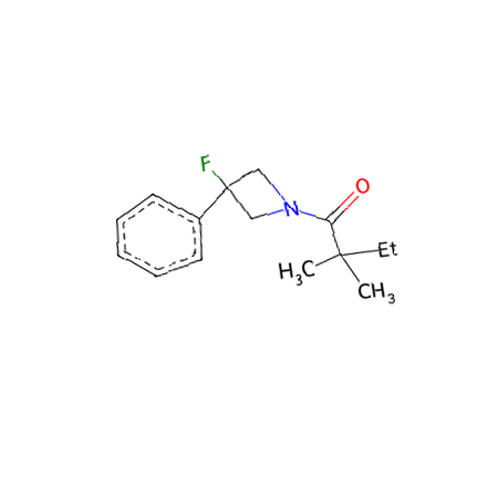 CCC(C)(C)C(=O)N1CC(F)(c2ccccc2)C1